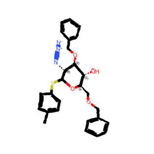 Cc1ccc(SC2O[C@H](COCc3ccccc3)[C@@H](O)[C@H](OCc3ccccc3)[C@H]2N=[N+]=[N-])cc1